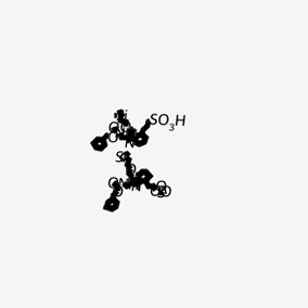 C[Si](C)(C)CCOCn1c(CNC(=O)OCc2ccccc2)nc2c(CCOS(C)(=O)=O)cccc21.C[Si](C)(C)CCOCn1c(CNC(=O)OCc2ccccc2)nc2cccc(CCCS(=O)(=O)O)c21